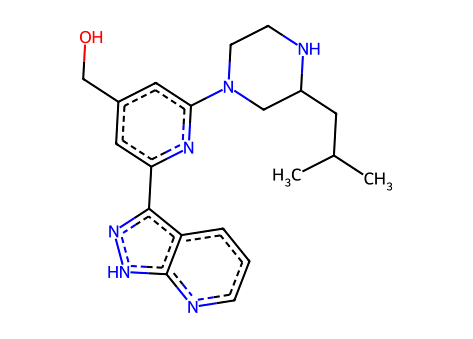 CC(C)CC1CN(c2cc(CO)cc(-c3n[nH]c4ncccc34)n2)CCN1